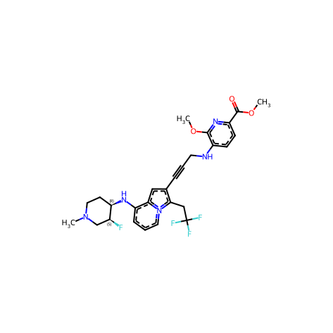 COC(=O)c1ccc(NCC#Cc2cc3c(N[C@@H]4CCN(C)C[C@@H]4F)cccn3c2CC(F)(F)F)c(OC)n1